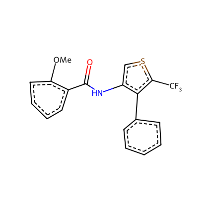 COc1ccccc1C(=O)Nc1csc(C(F)(F)F)c1-c1ccccc1